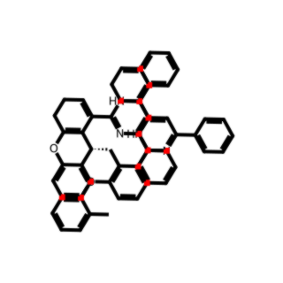 Cc1ccccc1Oc1cccc(C2N=C(c3ccccc3)C=C(C3=CC=CCC3)N2)c1C[C@H]1C2=C(CCC=C2C2=NC(C3C=CC=CC3)=CC(c3ccccc3)N2)Oc2ccccc21